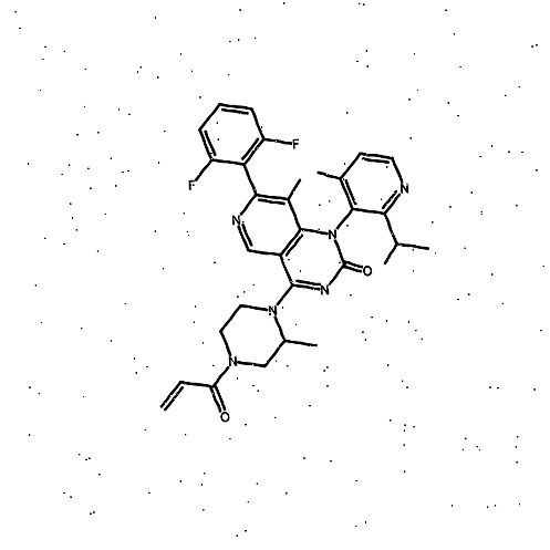 C=CC(=O)N1CCN(c2nc(=O)n(-c3c(C)ccnc3C(C)C)c3c(C)c(-c4c(F)cccc4F)ncc23)C(C)C1